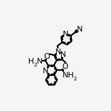 Cc1nn(Cc2ccc(C#N)nc2)c(C)c1-c1c(C(N)=O)nc2ccccc2c1C(N)=O